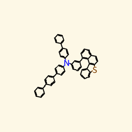 c1ccc(-c2ccc(-c3ccc(N(c4ccc(-c5ccccc5)cc4)c4cccc(-c5cccc6ccc7sc8ccccc8c7c56)c4)cc3)cc2)cc1